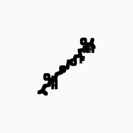 CC(C)CCC(=O)NCCOCCOCC(F)CNC(=O)C(C)C